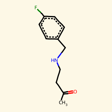 CC(=O)CCNCc1ccc(F)cc1